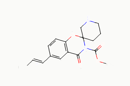 CCCCOC(=O)N1C(=O)c2cc(/C=C/C(=O)O)ccc2OC12CCCNC2